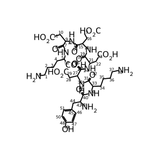 NCCCCC(NC(=O)C(CC(=O)O)NC(=O)C(CC(=O)O)NC(=O)C(CC(=O)O)NC(=O)C(CC(=O)O)NC(=O)C(CCCCN)NC(=O)C(N)Cc1ccc(O)cc1)C(=O)O